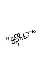 CC(C)(C)OC(=O)N[C@H]1CC[C@H](CBr)CC1